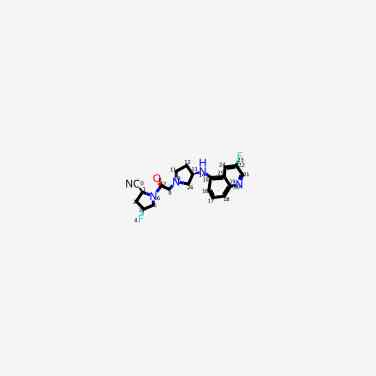 N#C[C@@H]1C[C@H](F)CN1C(=O)CN1CC[C@@H](Nc2cccc3ncc(F)cc23)C1